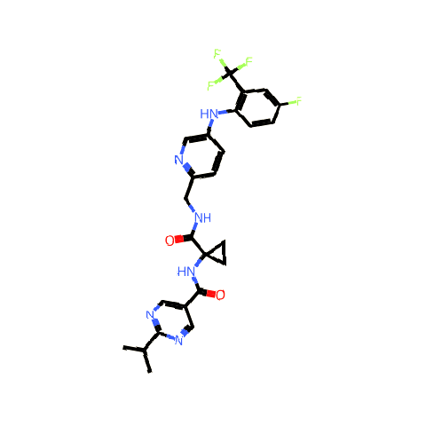 CC(C)c1ncc(C(=O)NC2(C(=O)NCc3ccc(Nc4ccc(F)cc4C(F)(F)F)cn3)CC2)cn1